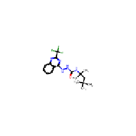 CC(C)(C)CC(C)(C)NC(=O)NNc1nc(C(F)(F)F)nc2ccccc12